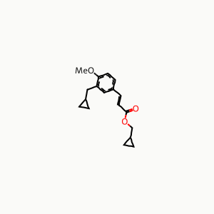 COc1ccc(/C=C/C(=O)OCC2CC2)cc1CC1CC1